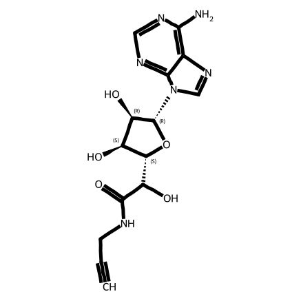 C#CCNC(=O)C(O)[C@H]1O[C@@H](n2cnc3c(N)ncnc32)[C@H](O)[C@@H]1O